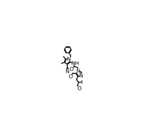 Cc1c(C#N)c(NC(=O)Cn2cnc(CC(I)C=O)c2C=O)n(Cc2ccccc2)c1C